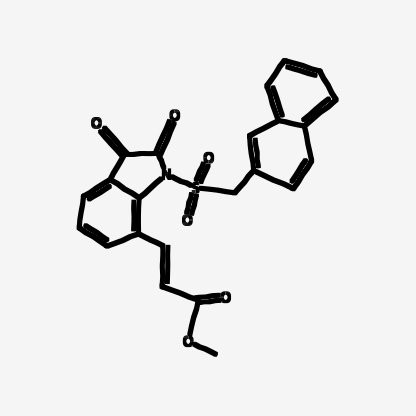 COC(=O)/C=C/c1cccc2c1N(S(=O)(=O)Cc1ccc3ccccc3c1)C(=O)C2=O